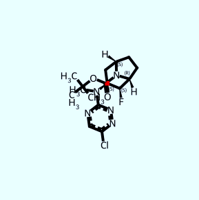 CN(c1ncc(Cl)nn1)[C@H]1C[C@@H]2CC[C@H]([C@H]1F)N2C(=O)OC(C)(C)C